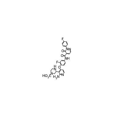 Nc1nccc(Oc2ccc(NC(=O)c3ccnn(-c4ccc(F)cc4)c3=O)cc2F)c1C1CN(C(=O)O)CCN1